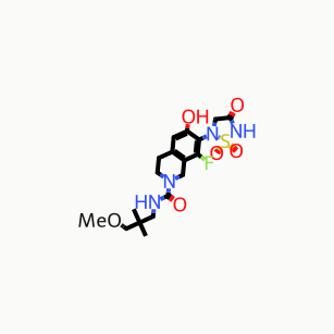 COCC(C)(C)CNC(=O)N1CCc2cc(O)c(N3CC(=O)NS3(=O)=O)c(F)c2C1